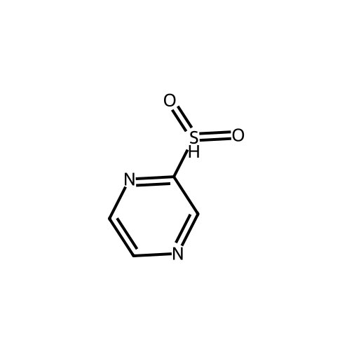 O=[SH](=O)c1cnccn1